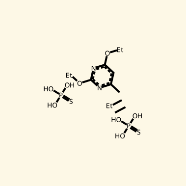 CC.CCC.CCOc1cc(C)nc(OCC)n1.OP(O)(O)=S.OP(O)(O)=S